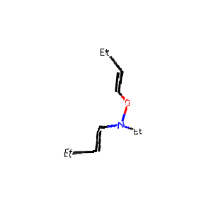 CCC=CON(C=CCC)CC